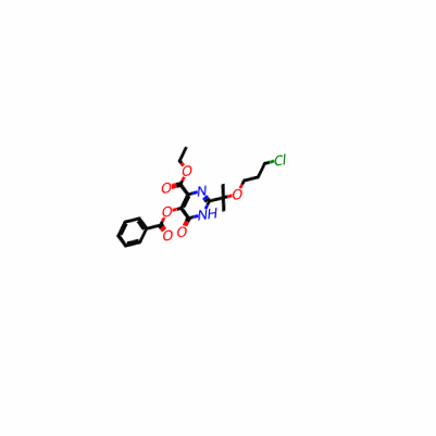 CCOC(=O)c1nc(C(C)(C)OCCCCl)[nH]c(=O)c1OC(=O)c1ccccc1